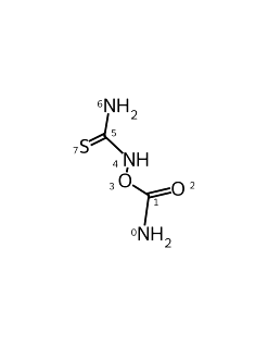 NC(=O)ONC(N)=S